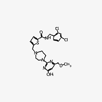 COCc1cc(O)nc(N2CCN(Cc3ccc(C(=O)NCc4ccc(Cl)cc4Cl)s3)CC2)n1